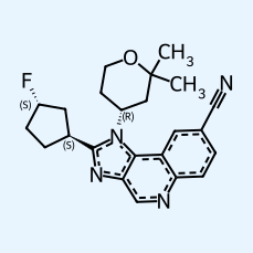 CC1(C)C[C@H](n2c([C@H]3CC[C@H](F)C3)nc3cnc4ccc(C#N)cc4c32)CCO1